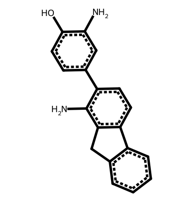 Nc1cc(-c2ccc3c(c2N)Cc2ccccc2-3)ccc1O